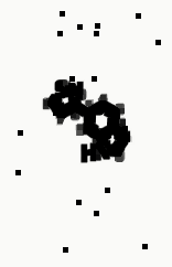 c1cc2ccc(-c3ccsn3)cc2[nH]1